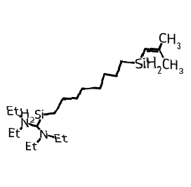 CCN(CC)C([SiH2]CCCCCCCC[SiH2]C=C(C)C)N(CC)CC